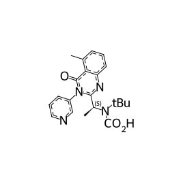 Cc1cccc2nc([C@H](C)N(C(=O)O)C(C)(C)C)n(-c3cccnc3)c(=O)c12